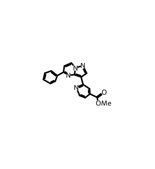 COC(=O)c1ccnc(-c2cnn3ccc(-c4ccccc4)nc23)c1